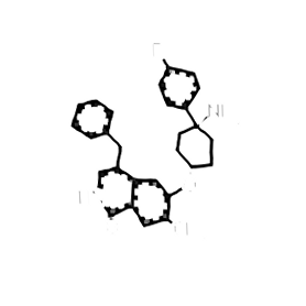 Cc1cc2c(=O)[nH]cc(Cc3ccccc3)c2cc1O[C@H]1CC[C@@](N)(c2ccc(F)cc2)CC1